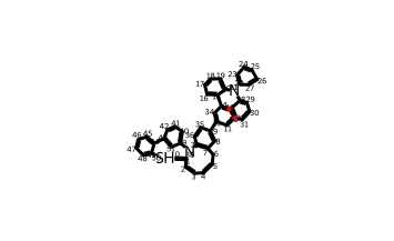 C=C1/C=C\C=C/Cc2cc(-c3cccc(-c4ccccc4N(c4ccccc4)c4ccccc4)c3)ccc2N1c1cccc(-c2ccccc2S)c1